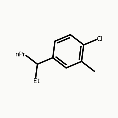 CCCC(CC)c1ccc(Cl)c(C)c1